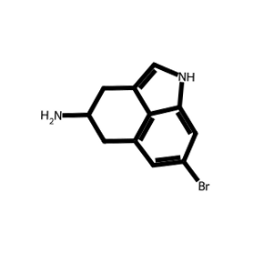 NC1Cc2c[nH]c3cc(Br)cc(c23)C1